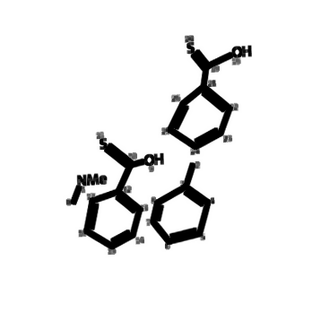 CNC.Cc1ccccc1.OC(=S)c1ccccc1.OC(=S)c1ccccc1